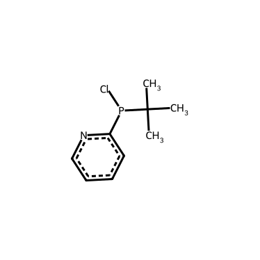 CC(C)(C)P(Cl)c1ccccn1